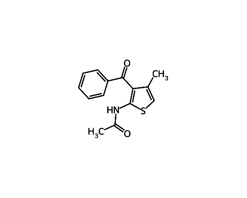 CC(=O)Nc1scc(C)c1C(=O)c1ccccc1